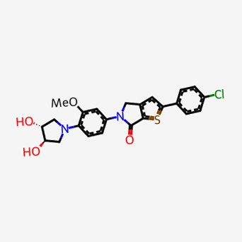 COc1cc(N2Cc3cc(-c4ccc(Cl)cc4)sc3C2=O)ccc1N1C[C@@H](O)[C@H](O)C1